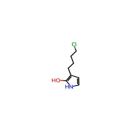 Oc1[nH]ccc1CCCCCl